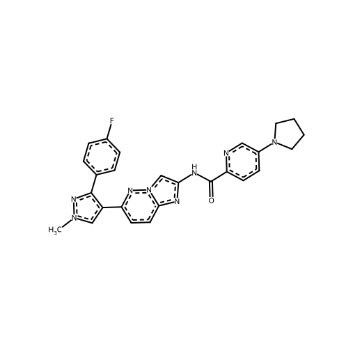 Cn1cc(-c2ccc3nc(NC(=O)c4ccc(N5CCCC5)cn4)cn3n2)c(-c2ccc(F)cc2)n1